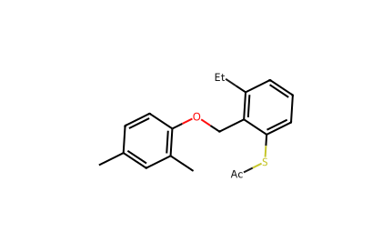 CCc1cccc(SC(C)=O)c1COc1ccc(C)cc1C